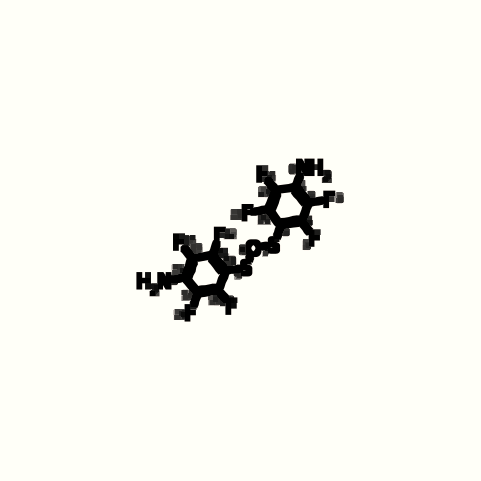 Nc1c(F)c(F)c(SOSc2c(F)c(F)c(N)c(F)c2F)c(F)c1F